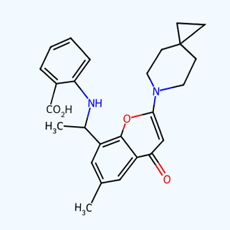 Cc1cc(C(C)Nc2ccccc2C(=O)O)c2oc(N3CCC4(CC3)CC4)cc(=O)c2c1